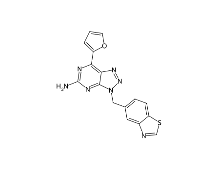 Nc1nc(-c2ccco2)c2nnn(Cc3ccc4scnc4c3)c2n1